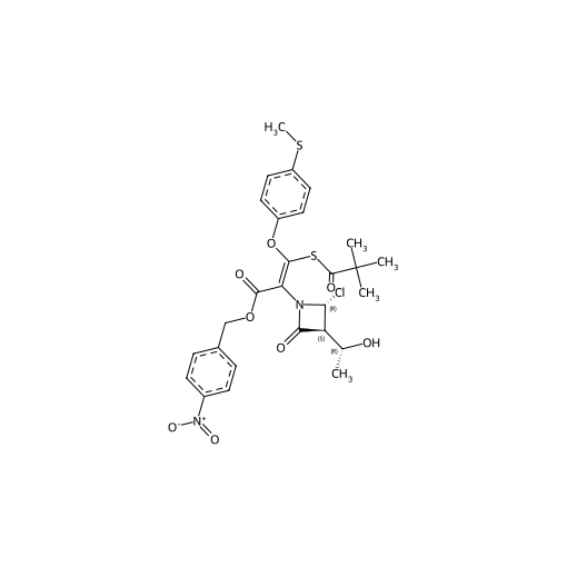 CSc1ccc(OC(SC(=O)C(C)(C)C)=C(C(=O)OCc2ccc([N+](=O)[O-])cc2)N2C(=O)[C@H]([C@@H](C)O)[C@H]2Cl)cc1